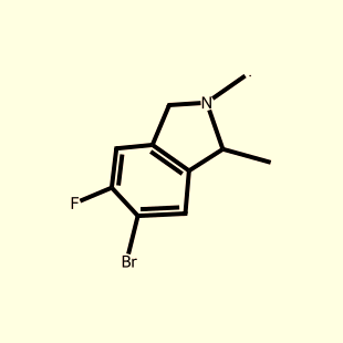 [CH2]N1Cc2cc(F)c(Br)cc2C1C